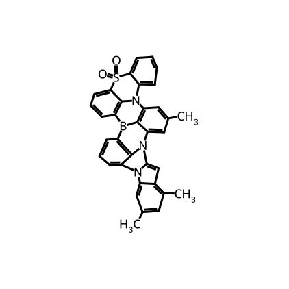 Cc1cc2c3c(c1)-n1c4c(cccc4n4c5cc(C)cc(C)c5cc14)B3c1cccc3c1N2c1ccccc1S3(=O)=O